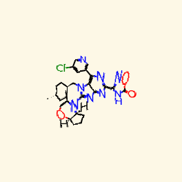 CC1CO[C@@H]2CCC[C@H]2N1c1nc2nc(-c3noc(=O)[nH]3)nc(-c3cncc(Cl)c3)c2n1C[C@H]1CC[C@H](C)CC1